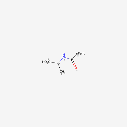 CCCCCC(=O)NC(C)C(=O)O